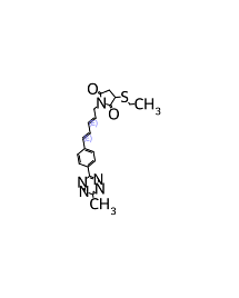 CCSC1CC(=O)N(C/C=C/C=C/c2ccc(-c3nnc(C)nn3)cc2)C1=O